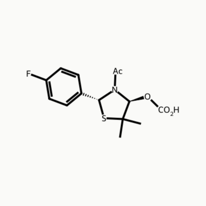 CC(=O)N1[C@@H](c2ccc(F)cc2)SC(C)(C)[C@@H]1OC(=O)O